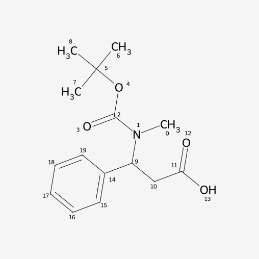 CN(C(=O)OC(C)(C)C)C(CC(=O)O)c1ccccc1